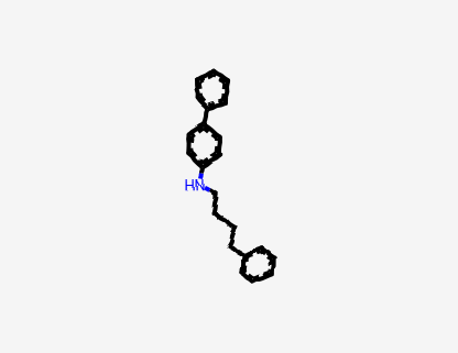 c1ccc(CCCCNc2ccc(-c3ccccc3)cc2)cc1